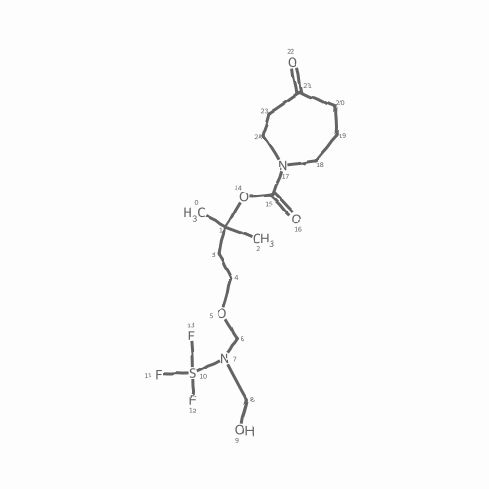 CC(C)(CCOCN(CO)S(F)(F)F)OC(=O)N1CCCC(=O)CC1